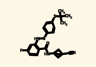 CC(C)(C)Sc1ccc(SNc2cc(F)ccc2C(=O)NC23CC(C#N)(C2)C3)cc1